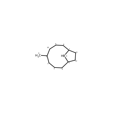 CC1CCCC2BC(CCC1)CC2